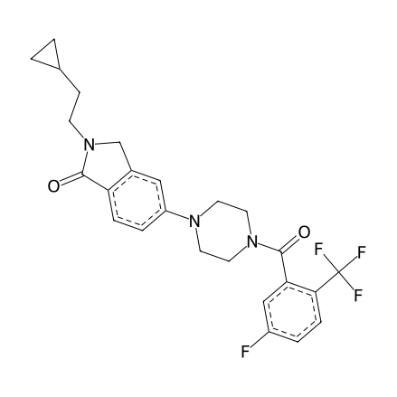 O=C1c2ccc(N3CCN(C(=O)c4cc(F)ccc4C(F)(F)F)CC3)cc2CN1CCC1CC1